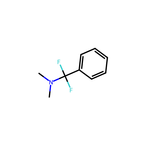 CN(C)C(F)(F)c1ccccc1